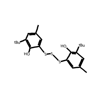 Cc1cc(SSSc2cc(C)cc(C(C)(C)C)c2O)c(O)c(C(C)(C)C)c1